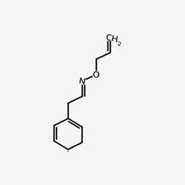 C=CCON=CCC1=CC[CH]C=C1